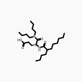 CCCCCCC(CCCC)C(=O)N[C@@H](CCC(=O)O)C(=O)N(CCCC)CCCC